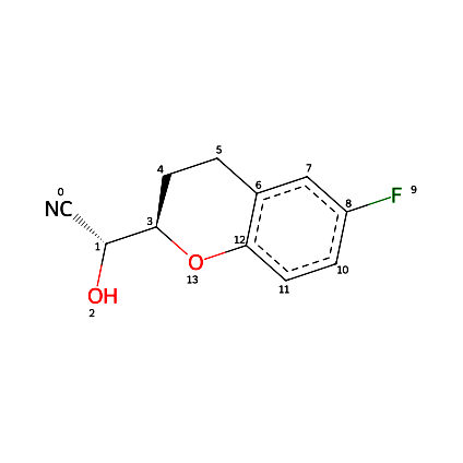 N#C[C@@H](O)[C@H]1CCc2cc(F)ccc2O1